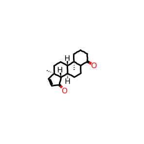 C[C@@]12C=CC(=O)[C@H]1[C@@H]1CCC3C(=O)CCC[C@]3(C)[C@H]1CC2